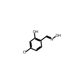 ON=Cc1ccc(Cl)cc1O